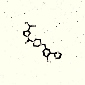 O=C(N1CCN(Cc2ccc(C(F)(F)F)c(-c3nccs3)c2)CC1)n1ccc(C(O)O)n1